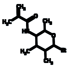 C=C(C)C(=O)NC1C(C)OC(CC)C(C)C1C